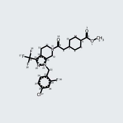 COC(=O)C1CCC(CC(=O)N2CCc3c(C(F)(F)F)nn(Cc4ccc(Cl)cc4F)c3C2)CC1